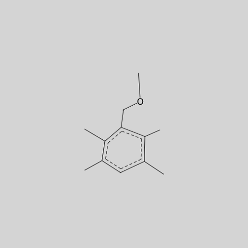 COCc1c(C)c(C)cc(C)c1C